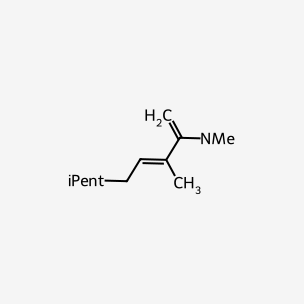 C=C(NC)/C(C)=C/CC(C)CCC